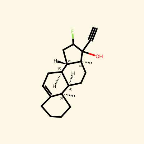 C#CC1(O)C(F)C[C@H]2[C@@H]3CC=C4CCCC[C@]4(C)[C@@H]3CC[C@@]21C